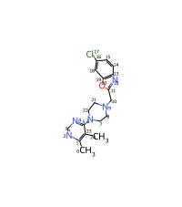 Cc1ncnc(N2CCN(Cc3nc4ccc(Cl)cc4o3)CC2)c1C